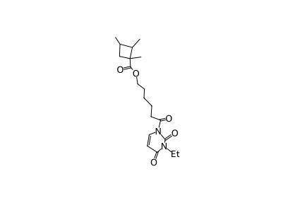 CCn1c(=O)ccn(C(=O)CCCCCOC(=O)C2(C)CC(C)C2C)c1=O